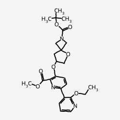 CCOc1ncccc1-c1ccc(OC2COC3(C2)CN(C(=O)OC(C)(C)C)C3)c(C(=O)OC)n1